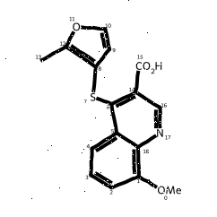 COc1cccc2c(Sc3ccoc3C)c(C(=O)O)cnc12